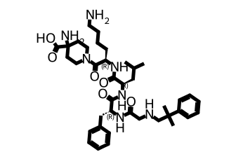 CC(C)C[C@@H](NC(=O)[C@@H](Cc1ccccc1)NC(=O)CNCC(C)(C)c1ccccc1)C(=O)N[C@H](CCCCN)C(=O)N1CCC(N)(C(=O)O)CC1